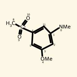 CNc1cc(OC)cc(S(C)(=O)=O)c1